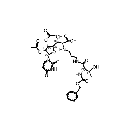 CC(=O)O[C@H]1[C@@H](OC(C)=O)[C@H](n2ccc(=O)[nH]c2=O)O[C@@H]1[C@H](O)C(NCCCNC(=O)[C@@H](NC(=O)OCc1ccccc1)[C@H](C)O)C(=O)O